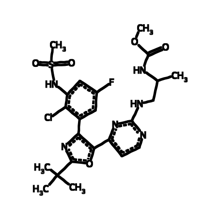 COC(=O)NC(C)CNc1nccc(-c2oc(C(C)(C)C)nc2-c2cc(F)cc(NS(C)(=O)=O)c2Cl)n1